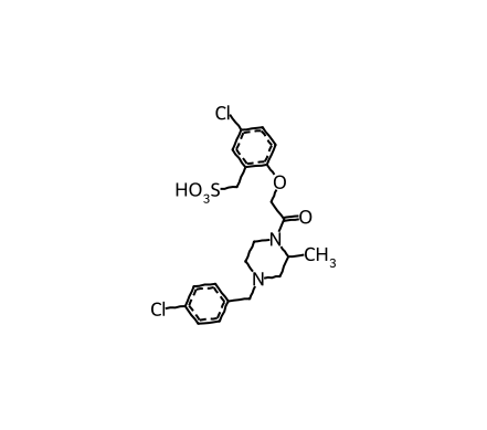 CC1CN(Cc2ccc(Cl)cc2)CCN1C(=O)COc1ccc(Cl)cc1CS(=O)(=O)O